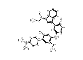 CC[S+]([O-])n1cc(-c2nc(Nc3cc(Cl)c(N4CCC(N(C)C)CC4)cc3OC)ncc2Cl)c2ccccc21